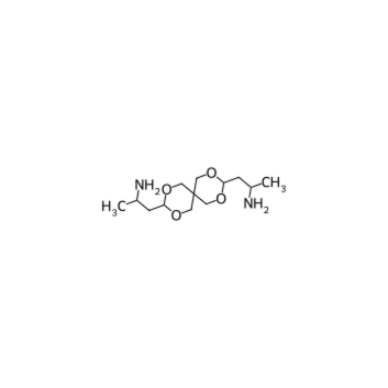 CC(N)CC1OCC2(CO1)COC(CC(C)N)OC2